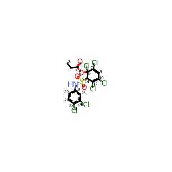 CCC(=O)OC1(Cl)C(Cl)=CC(Cl)=C(Cl)C1S(=O)(=O)Nc1ccc(Cl)c(Cl)c1